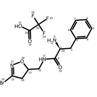 N[C@@H](Cc1ccccc1)C(=O)NCC1CC(Br)=NO1.O=C(O)C(F)(F)F